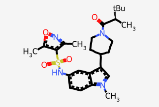 Cc1noc(C)c1S(=O)(=O)Nc1ccc2c(c1)c(C1CCN(C(=O)[C@H](C)C(C)(C)C)CC1)cn2C